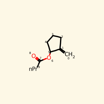 C=C1CCCC1OC(=O)CCC